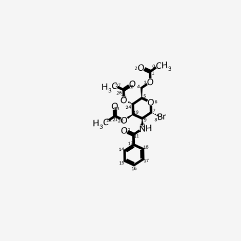 CC(=O)OC[C@H]1O[C@H](Br)[C@@H](NC(=O)c2ccccc2)[C@@H](OC(C)=O)[C@@H]1OC(C)=O